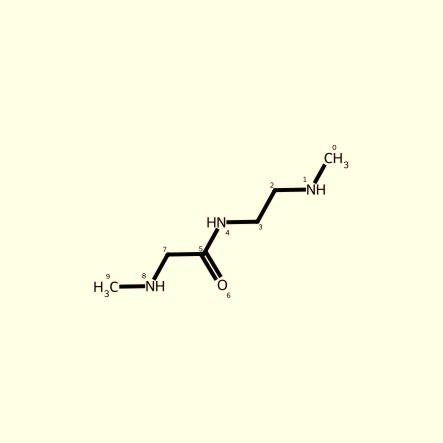 CNCCNC(=O)CNC